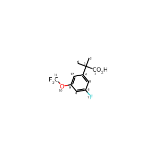 CC(C)(C(=O)O)c1cc(F)cc(OC(F)(F)F)c1